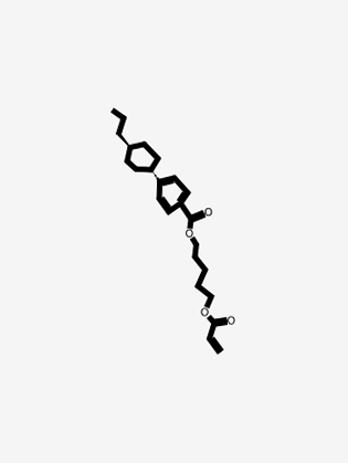 C=CC(=O)OCCCCCOC(=O)c1ccc([C@H]2CC[C@H](CCC)CC2)cc1